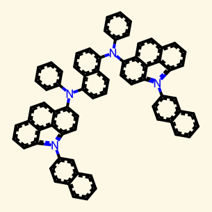 c1ccc(N(c2cccc3c(N(c4ccccc4)c4ccc5c6c4ccc4cccc(c46)n5-c4ccc5ccccc5c4)cccc23)c2ccc3c4c2ccc2cccc(c24)n3-c2ccc3ccccc3c2)cc1